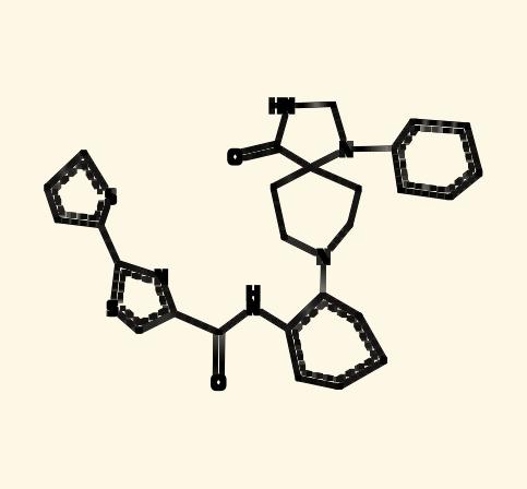 O=C(Nc1ccccc1N1CCC2(CC1)C(=O)NCN2c1ccccc1)c1csc(-c2cccs2)n1